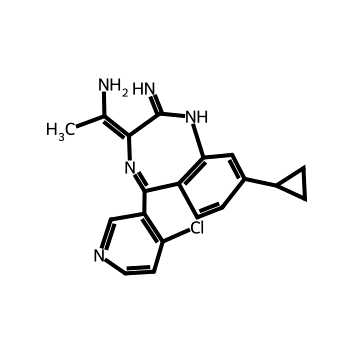 C/C(N)=C1\N=C(c2cnccc2Cl)c2ccc(C3CC3)cc2NC1=N